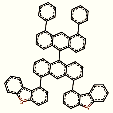 c1ccc(-c2cccc3c(-c4c5cccc(-c6cccc7sc8ccccc8c67)c5cc5c(-c6cccc7sc8ccccc8c67)cccc45)c4cccc(-c5ccccc5)c4cc23)cc1